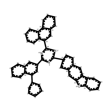 c1ccc(-c2cc(-c3nc(-c4ccc5cc6c(cc5c4)oc4ccccc46)nc(-c4cc5ccccc5c5ccccc45)n3)cc3ccccc23)cc1